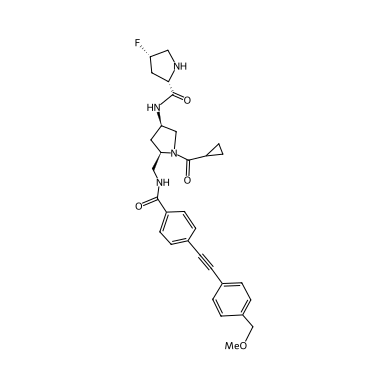 COCc1ccc(C#Cc2ccc(C(=O)NC[C@H]3C[C@@H](NC(=O)[C@@H]4C[C@H](F)CN4)CN3C(=O)C3CC3)cc2)cc1